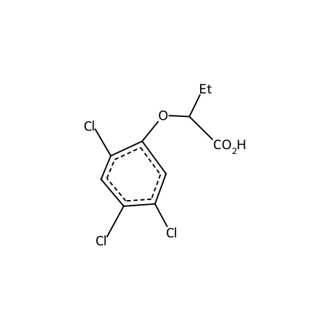 CCC(Oc1cc(Cl)c(Cl)cc1Cl)C(=O)O